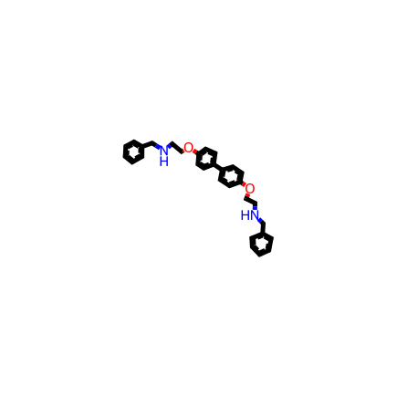 c1ccc(CNCCOc2ccc(-c3ccc(OCCNCc4ccccc4)cc3)cc2)cc1